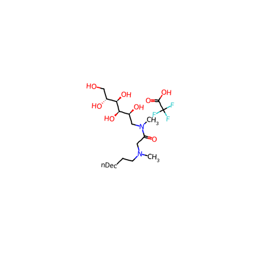 CCCCCCCCCCCCN(C)CC(=O)N(C)C[C@H](O)[C@@H](O)[C@H](O)[C@H](O)CO.O=C(O)C(F)(F)F